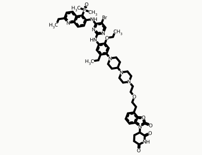 CCOc1cc(N2CCC(N3CCN(CCOCCc4cccc5c4oc(=O)n5C4CCC(=O)NC4=O)CC3)CC2)c(CC)cc1Nc1ncc(Br)c(Nc2ccc3nc(CC)ccc3c2P(C)(C)=O)n1